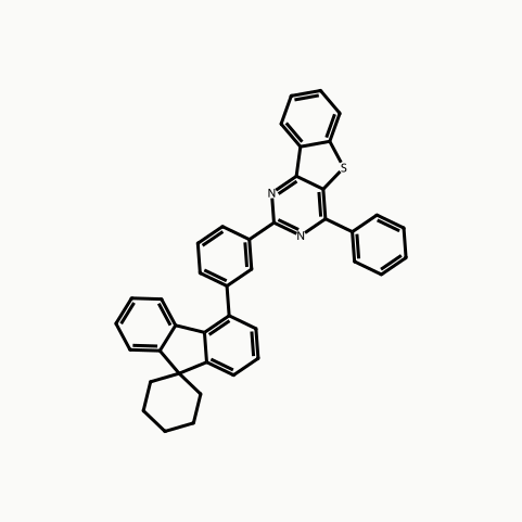 c1ccc(-c2nc(-c3cccc(-c4cccc5c4-c4ccccc4C54CCCCC4)c3)nc3c2sc2ccccc23)cc1